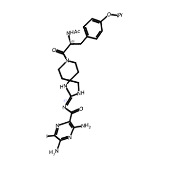 CC(=O)N[C@@H](Cc1ccc(OC(C)C)cc1)C(=O)N1CCC2(CC1)CN/C(=N\C(=O)c1nc(I)c(N)nc1N)N2